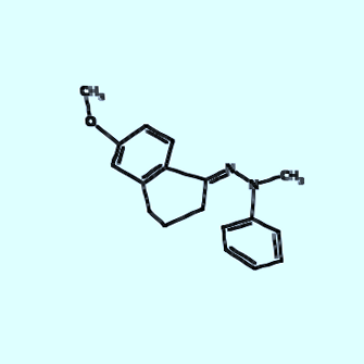 COc1ccc2c(c1)CCCC2=NN(C)c1ccccc1